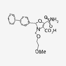 COCCOCN1C(C(=O)O)=C(S(N)(=O)=O)OC1c1ccc(-c2ccccc2)cc1